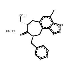 Cl.Cl.O=C(O)C[C@@H]1Cc2cc(Cl)c3[nH]ncc3c2CN(Cc2ccncc2)C1=O